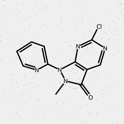 Cn1c(=O)c2cnc(Cl)nc2n1-c1ccccn1